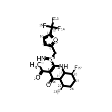 CC(=O)C1=C(S(=N)Cc2ccc(C(F)(F)F)o2)NC2C(C1=O)[C@H](F)CC[C@@H]2F